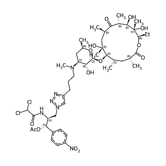 CC[C@H]1OC(=O)[C@H](C)C[C@H](C)[C@@H](O[C@@H]2O[C@H](C)C[C@H](N(C)CCCc3cn(C[C@H](NC(=O)C(Cl)Cl)[C@@H](OC(C)=O)c4ccc([N+](=O)[O-])cc4)nn3)[C@H]2O)[C@](C)(O)C[C@@H](C)C(=O)[C@H](C)[C@@H](O)[C@]1(C)O